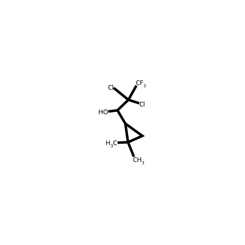 CC1(C)CC1C(O)C(Cl)(Cl)C(F)(F)F